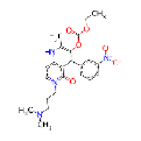 CCOC(=O)OC1=C(C)Nc2ccn(CCCN(C)C)c(=O)c2C1c1cccc([N+](=O)[O-])c1